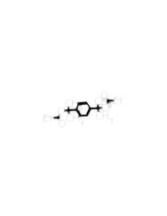 CCC(=O)OC(C)(C)c1ccc(C(C)(C)OC(=O)CC)cc1